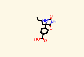 CCCCC1(c2ccc(C(=O)O)cc2)NC(=O)NC1=O